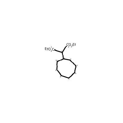 CCOC(=O)C(C(=O)OCC)C1CCCCCCC1